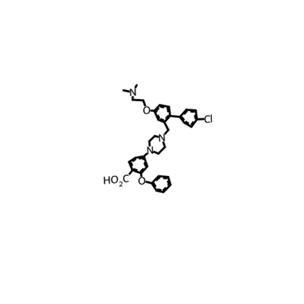 CN(C)CCOc1ccc(-c2ccc(Cl)cc2)c(CN2CCN(c3ccc(C(=O)O)c(Oc4ccccc4)c3)CC2)c1